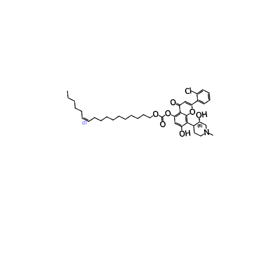 CCCCC/C=C\CCCCCCCCCCOC(=O)Oc1cc(O)c(C2CCN(C)C[C@@H]2O)c2oc(-c3ccccc3Cl)cc(=O)c12